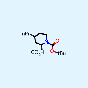 CCCC1CCN(C(=O)OC(C)(C)C)C(C(=O)O)C1